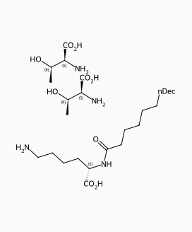 CCCCCCCCCCCCCCCC(=O)N[C@@H](CCCCN)C(=O)O.C[C@@H](O)[C@H](N)C(=O)O.C[C@@H](O)[C@H](N)C(=O)O